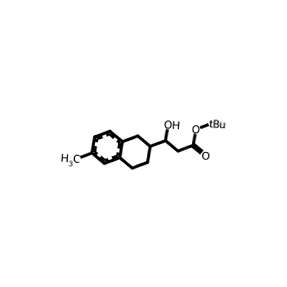 Cc1ccc2c(c1)CCC(C(O)CC(=O)OC(C)(C)C)C2